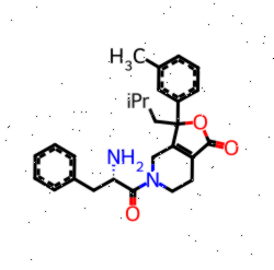 Cc1cccc(C2(CC(C)C)OC(=O)C3=C2CN(C(=O)[C@@H](N)Cc2ccccc2)CC3)c1